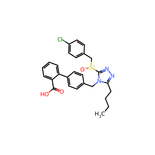 CCCCc1nnc([S+]([O-])Cc2ccc(Cl)cc2)n1Cc1ccc(-c2ccccc2C(=O)O)cc1